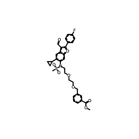 COC(=O)c1cccc(COCCOCCN(c2cc3oc(-c4ccc(F)cc4)c(C=O)c3cc2C2CC2)S(C)(=O)=O)c1